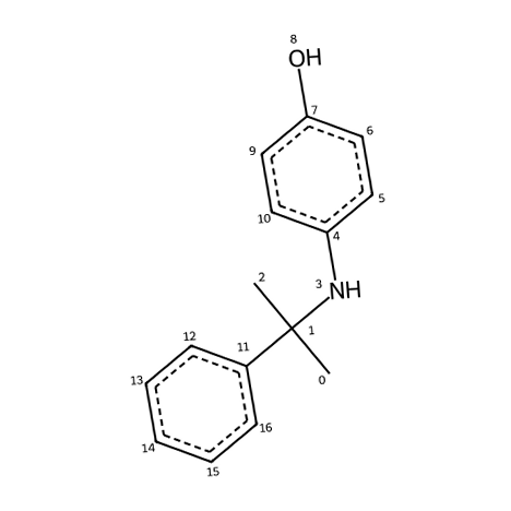 CC(C)(Nc1ccc(O)cc1)c1ccccc1